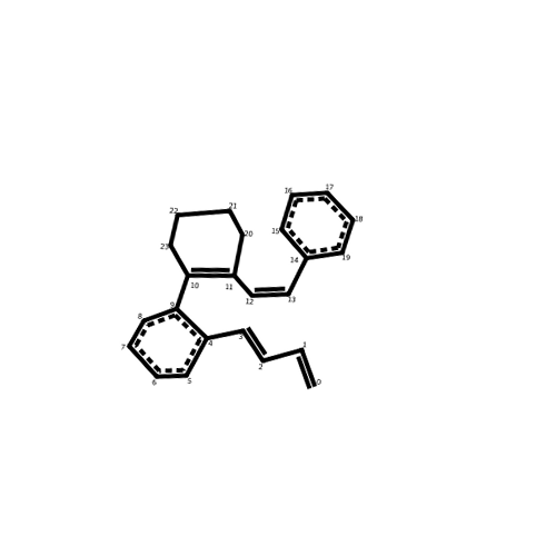 C=CC=Cc1ccccc1C1=C(C=Cc2ccccc2)CCCC1